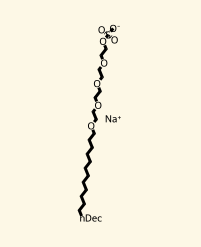 CCCCCCCCCCCCCCCCCCCCCCOCCOCCOCCOCCOS(=O)(=O)[O-].[Na+]